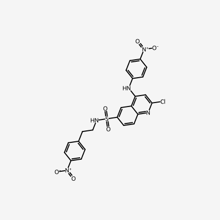 O=[N+]([O-])c1ccc(CCNS(=O)(=O)c2ccc3nc(Cl)cc(Nc4ccc([N+](=O)[O-])cc4)c3c2)cc1